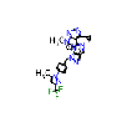 Cc1cc(C(F)(F)F)nn1-c1ccc(Cn2ncc3cnc(-c4c(C5CC5)ncnc4N(C)C)nc32)cc1